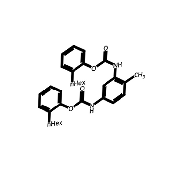 CCCCCCc1ccccc1OC(=O)Nc1ccc(C)c(NC(=O)Oc2ccccc2CCCCCC)c1